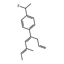 C=CC/C(=C\C(C)=C\C)c1ccc(C(C)F)cc1